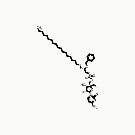 CCCCCCCCCCCCCCCCCCOC[C@@H](COP(=O)(O)OC[C@@]1(CCl)O[C@@H](n2ccc(N)nc2=O)[C@H](F)[C@@H]1O)OCc1ccccc1